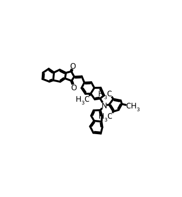 Cc1cc(C)c(N(C2=CC3(C)C=CC(C=C4C(=O)c5cc6ccccc6cc5C4=O)=CC3C=C2)c2ccc3ccccc3c2)c(C)c1